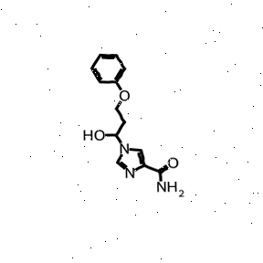 NC(=O)c1cn(C(O)CCOc2ccccc2)cn1